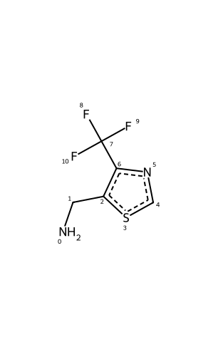 NCc1scnc1C(F)(F)F